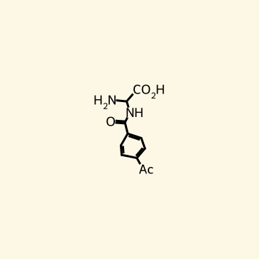 CC(=O)c1ccc(C(=O)NC(N)C(=O)O)cc1